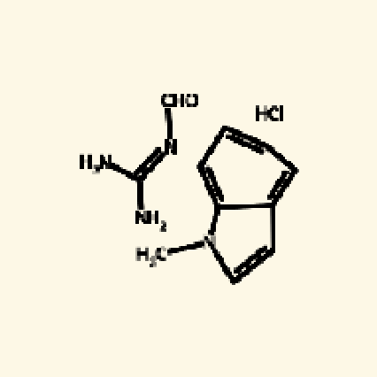 Cl.Cn1ccc2ccccc21.NC(N)=NC=O